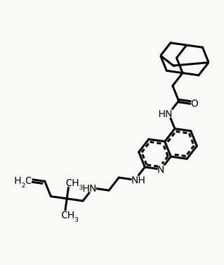 C=CCC(C)(C)CNCCNc1ccc2c(NC(=O)CC34CC5CC(CC(C5)C3)C4)cccc2n1